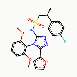 COc1cccc(OC)c1-n1c(NS(=O)(=O)C[C@@H](C)c2ccc(F)cc2)nnc1-c1ccco1